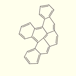 c1ccc2c(c1)cc1ccc3cc4ccccc4c4c5ccccc5c2c1c34